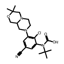 CC1(C)CN2CCN(c3cc(C#N)cc(N(C(=O)O)C(C)(C)C)c3Cl)CC2CO1